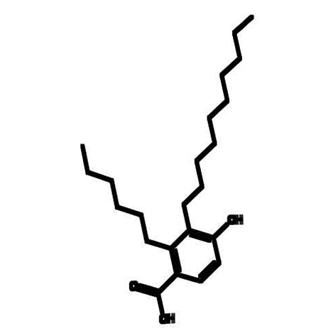 CCCCCCCCCCc1c(O)ccc(C(=O)O)c1CCCCCC